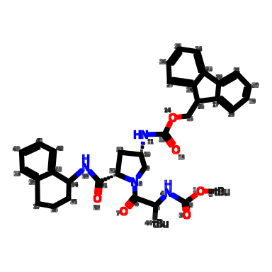 CC(C)(C)OC(=O)NC(C(=O)N1C[C@@H](NC(=O)OCC2c3ccccc3-c3ccccc32)C[C@H]1C(=O)NC1CCCc2ccccc21)C(C)(C)C